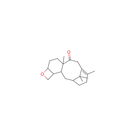 CC1=C2CC(=O)C3(C)CCC4OCC4C3CC(CC1)C2(C)C